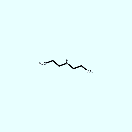 COCCNCCOC(C)=O